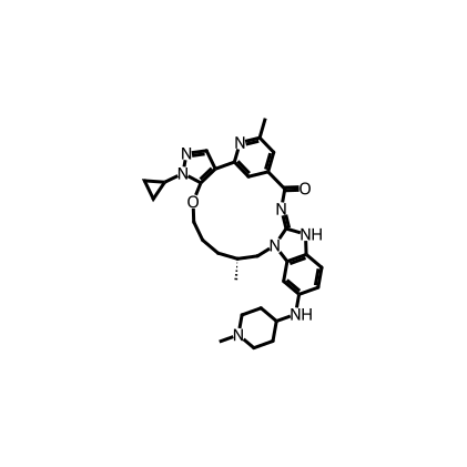 Cc1cc2cc(n1)-c1cnn(C3CC3)c1OCCC[C@@H](C)CN1/C(=N/C2=O)Nc2ccc(NC3CCN(C)CC3)cc21